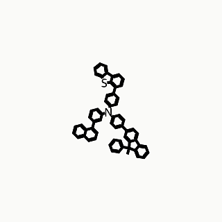 CC1(c2ccccc2)c2ccccc2-c2ccc(-c3ccc(N(c4ccc(-c5cccc6c5sc5ccccc56)cc4)c4cccc(-c5cccc6ccccc56)c4)cc3)cc21